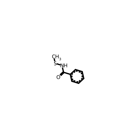 CSNC(=O)c1ccccc1